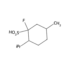 CC1CCC(C(C)C)C(F)(S(=O)(=O)O)C1